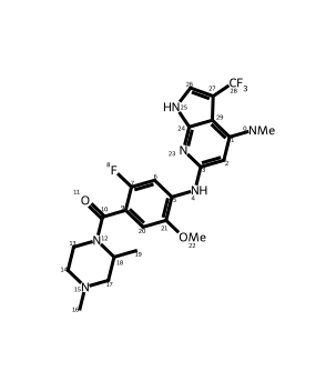 CNc1cc(Nc2cc(F)c(C(=O)N3CCN(C)CC3C)cc2OC)nc2[nH]cc(C(F)(F)F)c12